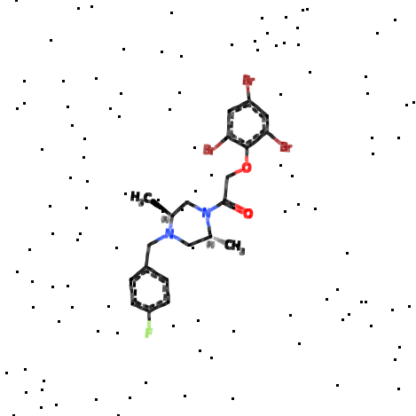 C[C@@H]1CN(Cc2ccc(F)cc2)[C@@H](C)CN1C(=O)COc1c(Br)cc(Br)cc1Br